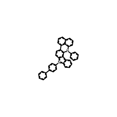 c1ccc(-c2ccc(-n3c4ccccc4c4c5c(ccc43)-c3cccc4cccc(c34)N5c3ccccc3)cc2)cc1